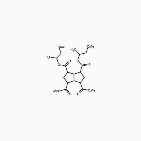 COCC(C)OC(=O)C1CC(C(=O)OC)C2C(C(=O)OC)CC(C(=O)OC(C)COC)C12